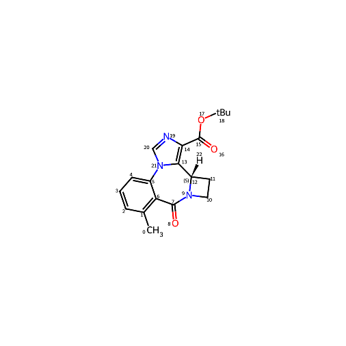 Cc1cccc2c1C(=O)N1CC[C@H]1c1c(C(=O)OC(C)(C)C)ncn1-2